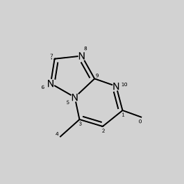 Cc1cc(C)n2n[c]nc2n1